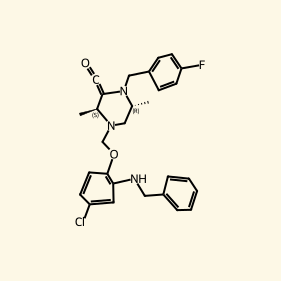 C[C@@H]1CN(COc2ccc(Cl)cc2NCc2ccccc2)[C@@H](C)C(=C=O)N1Cc1ccc(F)cc1